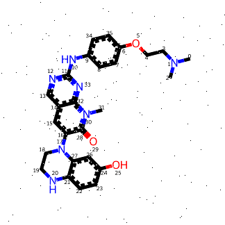 CN(C)CCOc1ccc(Nc2ncc3cc(N4CCNc5ccc(O)cc54)c(=O)n(C)c3n2)cc1